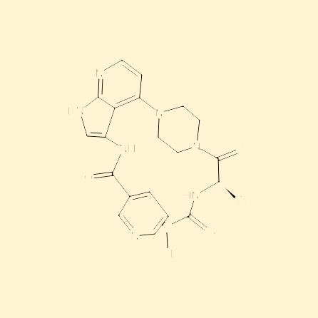 CC(C)[C@@H](NC(=O)OC(C)(C)C)C(=O)N1CCN(c2ccnc3[nH]cc(NC(=O)c4cccnc4)c23)CC1